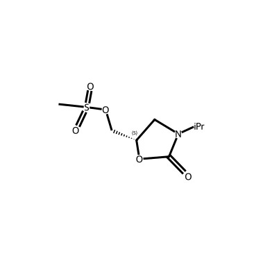 CC(C)N1C[C@@H](COS(C)(=O)=O)OC1=O